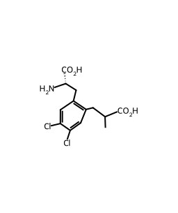 CC(Cc1cc(Cl)c(Cl)cc1C[C@H](N)C(=O)O)C(=O)O